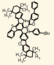 CC(C)(C)c1ccc(N2B3c4oc5ccc(-c6ccccc6)cc5c4-n4c5cc6c(cc5c5c7sc8ccccc8c7c(c3c54)-c3cc4oc5cc7c(cc5c4cc32)C(C)(C)CCC7(C)C)C(C)(C)CCC6(C)C)cc1